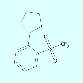 O=S(=O)(c1ccccc1C1CCCC1)C(F)(F)F